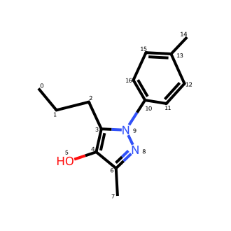 CCCc1c(O)c(C)nn1-c1ccc(C)cc1